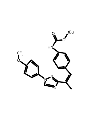 CC(=Cc1ccc(NC(=O)OC(C)(C)C)cc1)c1ncn(-c2ccc(OC(F)(F)F)cc2)n1